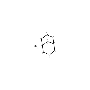 C1OCC2COCC1N2.Cl